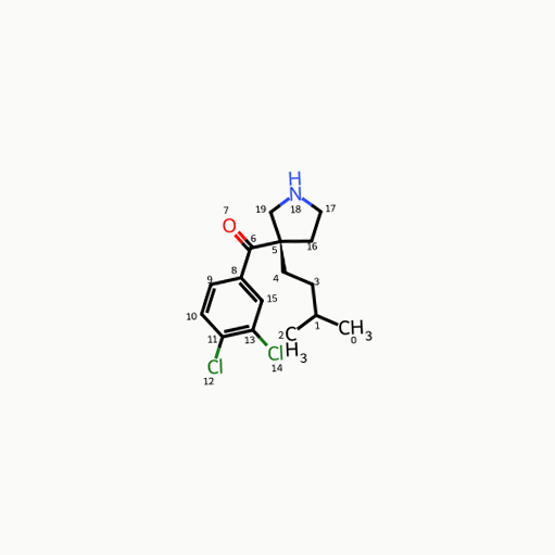 CC(C)CC[C@]1(C(=O)c2ccc(Cl)c(Cl)c2)CCNC1